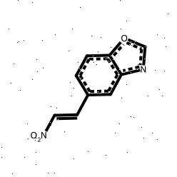 O=[N+]([O-])C=Cc1ccc2ocnc2c1